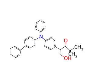 C=C(C)C(=O)C(CO)c1ccc(N(c2ccccc2)c2ccc(-c3ccccc3)cc2)cc1